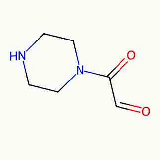 O=CC(=O)N1CCNCC1